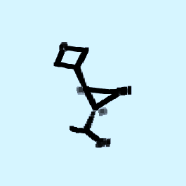 CC(S)[C@H]1N[C@@H]1C1COC1